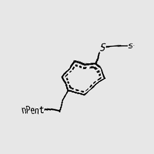 CCCCCCc1ccc(S[S])cc1